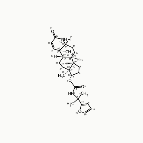 CC(C)(NC(=O)O[C@H]1CC[C@H]2[C@@H]3CC[C@H]4NC(=O)C=C[C@]4(C)[C@H]3CC[C@]12C)c1ccco1